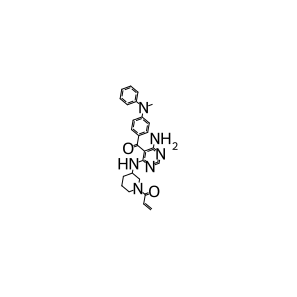 C=CC(=O)N1CCCC(Nc2ncnc(N)c2C(=O)c2ccc(N(C)c3ccccc3)cc2)C1